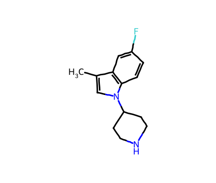 Cc1cn(C2CCNCC2)c2ccc(F)cc12